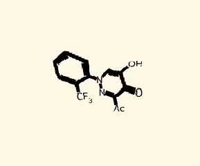 CC(=O)c1nn(-c2ccccc2C(F)(F)F)cc(O)c1=O